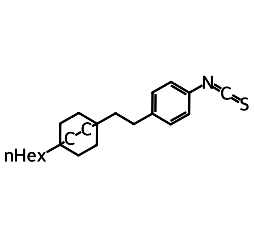 CCCCCCC12CCC(CCc3ccc(N=C=S)cc3)(CC1)CC2